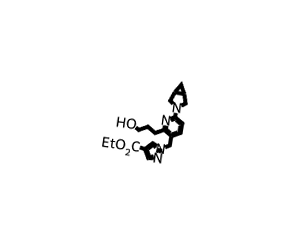 CCOC(=O)c1cnn(Cc2ccc(N3CC4CC4C3)nc2CCCO)c1